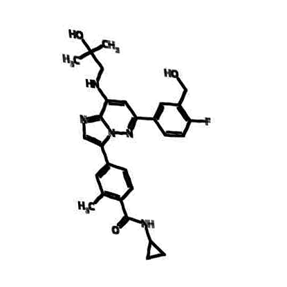 Cc1cc(-c2cnc3c(NCC(C)(C)O)cc(-c4ccc(F)c(CO)c4)nn23)ccc1C(=O)NC1CC1